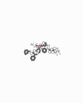 COC(=O)C1(N(C(=O)c2ccco2)c2cccc(NC(=O)OC(C)(C)C)c2)CCN(CC(C(=O)OCc2ccccc2)c2ccccc2)CC1